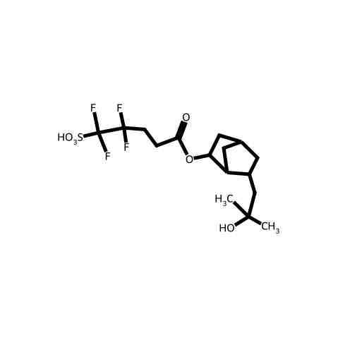 CC(C)(O)CC1CC2CC(OC(=O)CCC(F)(F)C(F)(F)S(=O)(=O)O)C1C2